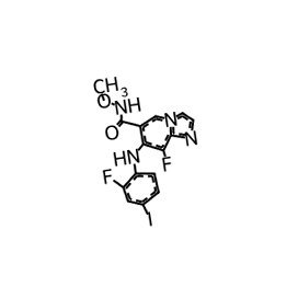 CONC(=O)c1cn2ccnc2c(F)c1Nc1ccc(I)cc1F